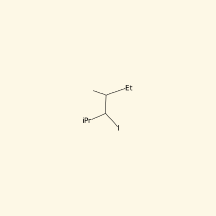 CCC(C)C(I)C(C)C